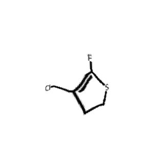 FC1=C(Cl)CCS1